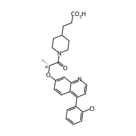 C[C@@H](Oc1ccc2c(-c3ccccc3Cl)ccnc2c1)C(=O)N1CCC(CCC(=O)O)CC1